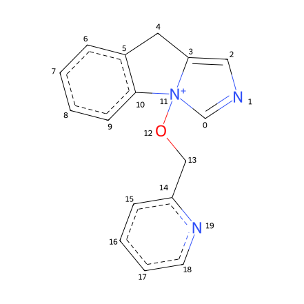 C1=NC=C2Cc3ccccc3[N+]12OCc1ccccn1